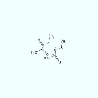 CCC(=O)C(C)=O.CCOC(C)=O